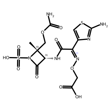 C[C@@]1(COC(N)=O)[C@H](NC(=O)/C(=N\OCC(=O)O)c2csc(N)n2)C(=O)N1S(=O)(=O)O